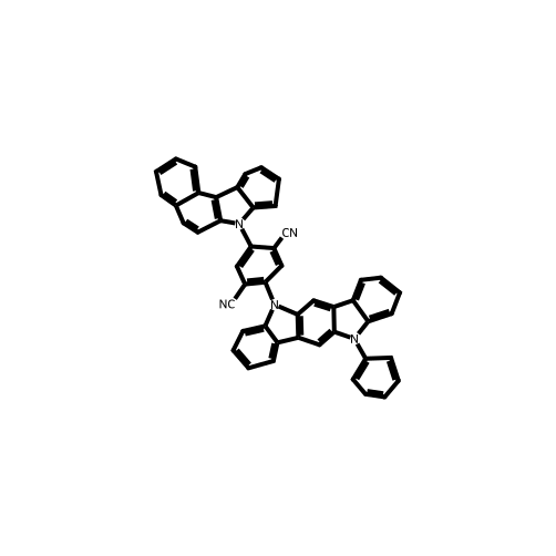 N#Cc1cc(-n2c3ccccc3c3c4ccccc4ccc32)c(C#N)cc1-n1c2ccccc2c2cc3c(cc21)c1ccccc1n3-c1ccccc1